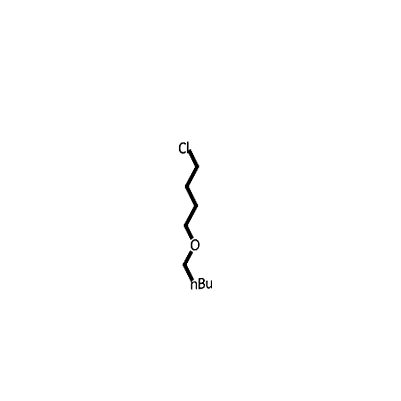 CCCCCOCCCCCl